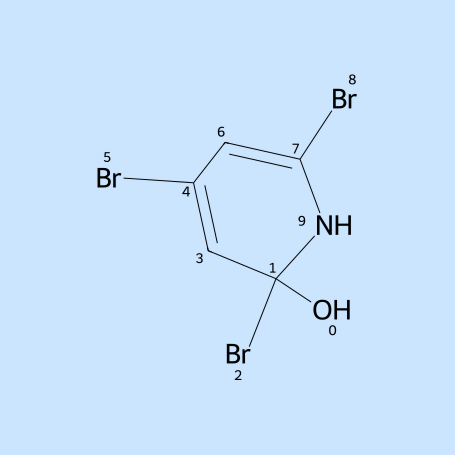 OC1(Br)C=C(Br)C=C(Br)N1